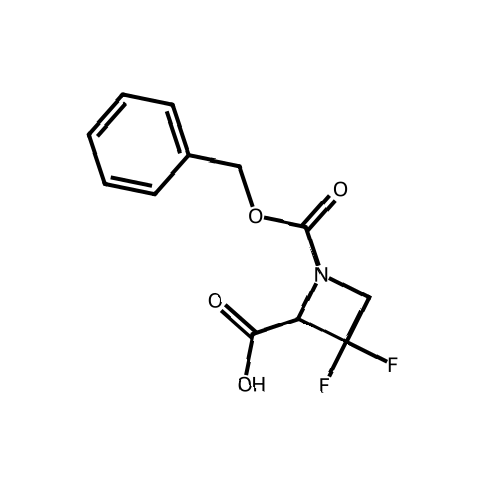 O=C(O)C1N(C(=O)OCc2ccccc2)CC1(F)F